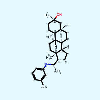 C[C@H](Nc1cccc(C#N)c1)[C@H]1CC[C@H]2[C@@H]3CC[C@@H]4C[C@](C)(O)CC[C@@H]4[C@H]3CC[C@]12C